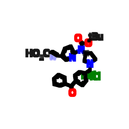 CC(C)(C)OC(=O)N(c1ccc(/C=C/C(=O)O)cn1)[C@@H]1CCN(Cc2ccc(C(=O)c3ccccc3)cc2)C1.Cl.Cl